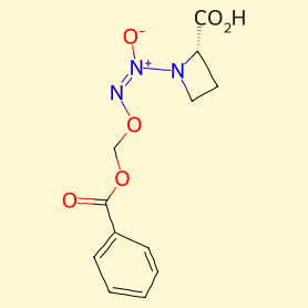 O=C(OCO/N=[N+](/[O-])N1CC[C@H]1C(=O)O)c1ccccc1